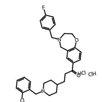 Cl.Cl.O=C(CCC1CCN(Cc2ccccc2Cl)CC1)c1ccc2c(c1)CN(Cc1ccc(F)cc1)CCO2